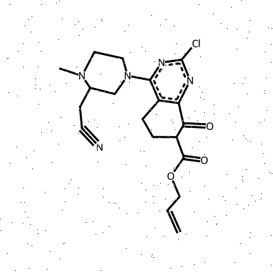 C=CCOC(=O)C1CCc2c(nc(Cl)nc2N2CCN(C)C(CC#N)C2)C1=O